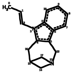 C/C=C/n1c2c(c3ccccc31)CN1CC(C2)C1